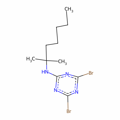 CCCCCC(C)(C)Nc1nc(Br)nc(Br)n1